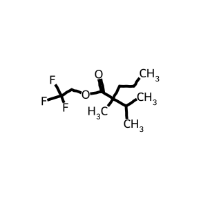 CCCC(C)(C(=O)OCC(F)(F)F)C(C)C